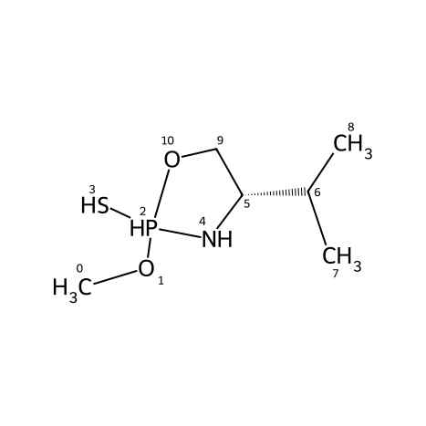 CO[PH]1(S)N[C@@H](C(C)C)CO1